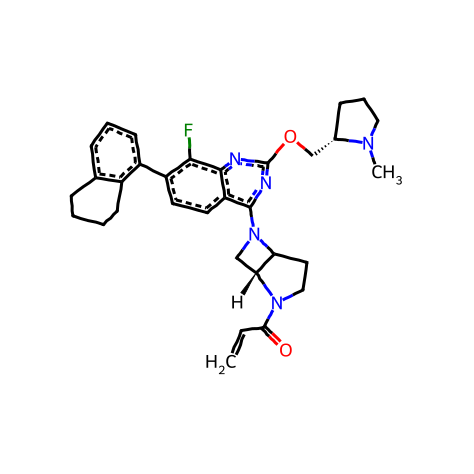 C=CC(=O)N1CCC2[C@H]1CN2c1nc(OC[C@@H]2CCCN2C)nc2c(F)c(-c3cccc4c3CCCC4)ccc12